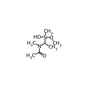 CO[Si](C)(O)C(C)N(C)C(C)=O